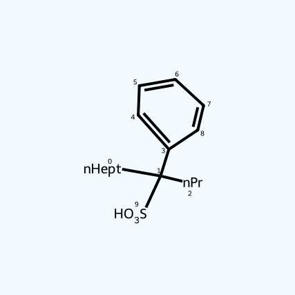 CCCCCCCC(CCC)(c1ccccc1)S(=O)(=O)O